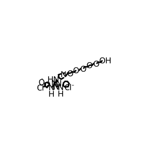 COc1ccc(Nc2nc(NC3CCCCCC3)nc(NC3CC[N+](C)(CCOCCOCCOCCOCCOCCO)CC3)n2)cc1Cl.[Cl-]